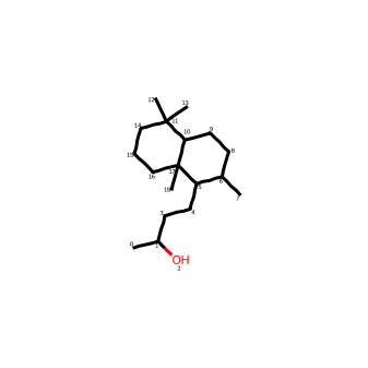 CC(O)CCC1C(C)CCC2C(C)(C)CCCC12C